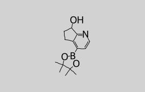 CC1(C)OB(c2ccnc3c2CCC3O)OC1(C)C